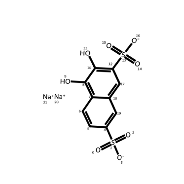 O=S(=O)([O-])c1ccc2c(O)c(O)c(S(=O)(=O)[O-])cc2c1.[Na+].[Na+]